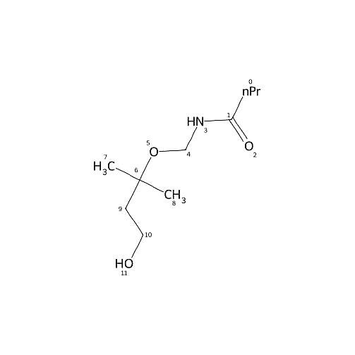 CCCC(=O)NCOC(C)(C)CCO